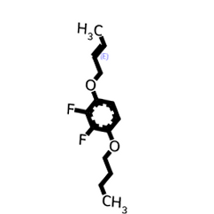 C/C=C/COc1ccc(OCCCC)c(F)c1F